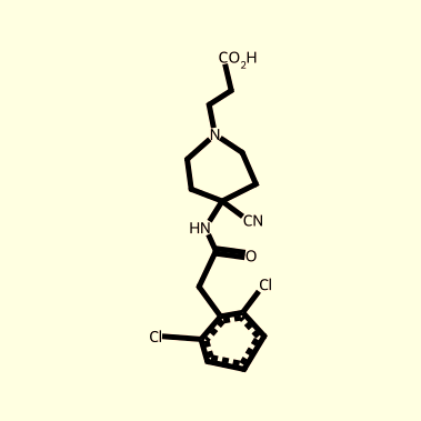 N#CC1(NC(=O)Cc2c(Cl)cccc2Cl)CCN(CCC(=O)O)CC1